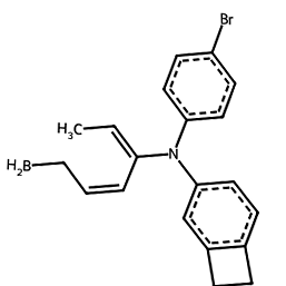 BC/C=C\C(=C/C)N(c1ccc(Br)cc1)c1ccc2c(c1)CC2